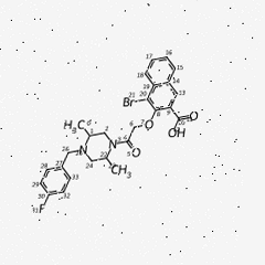 CC1CN(C(=O)COc2c(C(=O)O)cc3ccccc3c2Br)C(C)CN1Cc1ccc(F)cc1